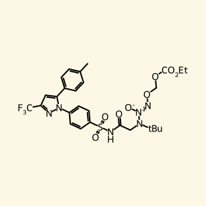 CCOC(=O)OCO/N=[N+](\[O-])N(CC(=O)NS(=O)(=O)c1ccc(-n2nc(C(F)(F)F)cc2-c2ccc(C)cc2)cc1)C(C)(C)C